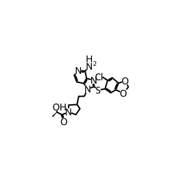 C[C@@H](O)C(=O)N1CCC(CCn2c(Sc3cc4c(cc3Cl)OCO4)nc3c(N)nccc32)C1